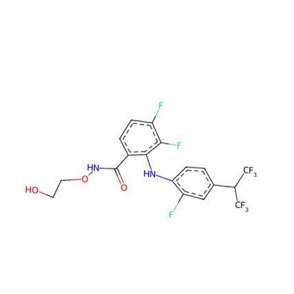 O=C(NOCCO)c1ccc(F)c(F)c1Nc1ccc(C(C(F)(F)F)C(F)(F)F)cc1F